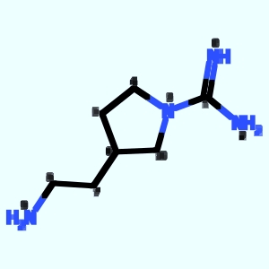 N=C(N)N1CCC(CCN)C1